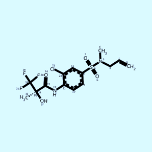 C=CCN(C)S(=O)(=O)c1ccc(NC(=O)[C@@](C)(O)C(F)(F)F)c(Cl)c1